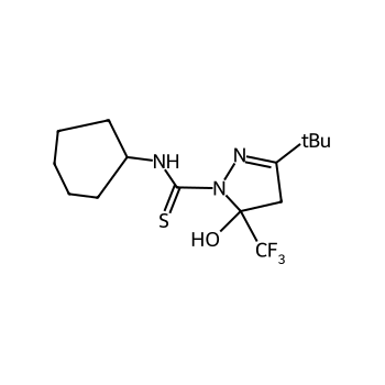 CC(C)(C)C1=NN(C(=S)NC2CCCCC2)C(O)(C(F)(F)F)C1